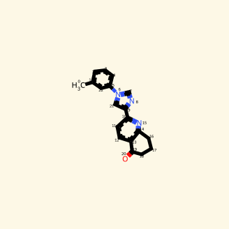 Cc1cccc(-n2cnc(-c3ccc4c(n3)CCCC4=O)c2)c1